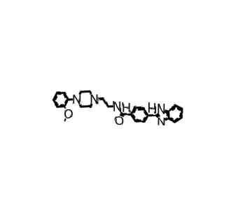 COc1ccccc1N1CCN(CCNC(=O)c2ccc(-c3nc4ccccc4[nH]3)cc2)CC1